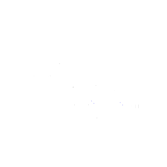 CN1CCN(CCOc2ccccc2)CC1